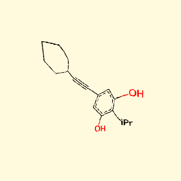 CC(C)c1c(O)cc(C#CC2CCCCC2)cc1O